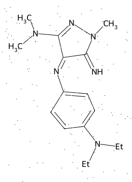 CCN(CC)c1ccc(N=C2C(=N)N(C)N=C2N(C)C)cc1